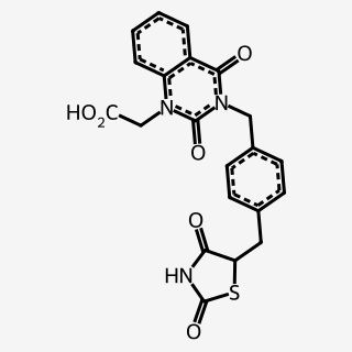 O=C(O)Cn1c(=O)n(Cc2ccc(CC3SC(=O)NC3=O)cc2)c(=O)c2ccccc21